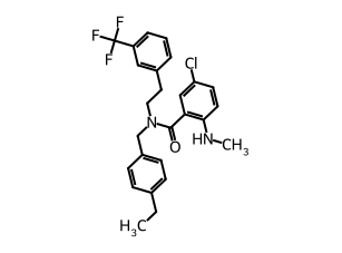 CCc1ccc(CN(CCc2cccc(C(F)(F)F)c2)C(=O)c2cc(Cl)ccc2NC)cc1